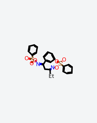 CCC(CC(=NOS(=O)(=O)c1ccccc1)c1ccccc1)=NOS(=O)(=O)c1ccccc1